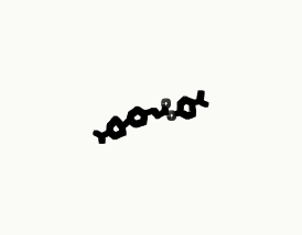 C=C(C)c1ccc(OC(=O)/C=C/c2ccc(-c3ccc(C(=C)C)cc3)cc2)cc1